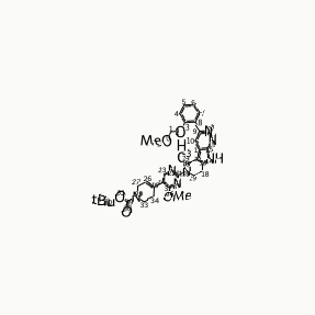 COCOc1ccccc1-c1cc2c3c([nH]c2nn1)CCN(c1ncc(C2=CCN(C(=O)OC(C)(C)C)CC2)c(OC)n1)[C@@H]3C